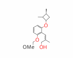 COCOc1cccc(OC2C[C@H](C)C2C)c1/C=C(/C)CO